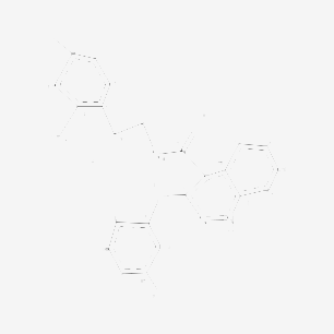 Cc1ccc([C@@H](F)CNC(=O)c2c(Oc3cccc(Cl)c3)nnc3ccccc23)c(Cl)c1